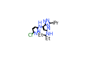 CCC(CC)Nc1cc(Nc2ccc(Cl)nn2)c2nnc(C(C)C)n2n1